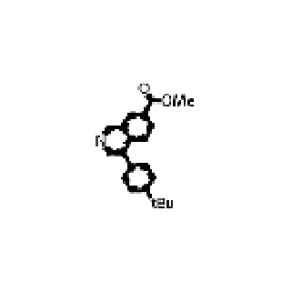 COC(=O)c1ccc2c(-c3ccc(C(C)(C)C)cc3)cncc2c1